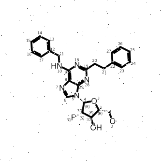 [O]C[C@H]1O[C@@H](n2cnc3c(NCc4ccccc4)nc(CCc4ccccc4)nc32)[C@@H](F)[C@@H]1O